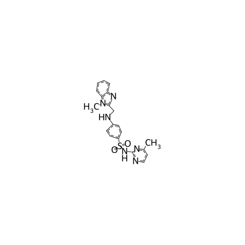 Cc1ccnc(NS(=O)(=O)c2ccc(NCc3nc4ccccc4n3C)cc2)n1